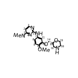 CNc1ccnc(Nc2ccc(OC)c(OC[C@H]3CNCCO3)c2)n1